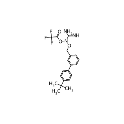 CC(C)(C)c1ccc(-c2cccc(CON(OC(=O)C(F)(F)F)C(=N)N)c2)cc1